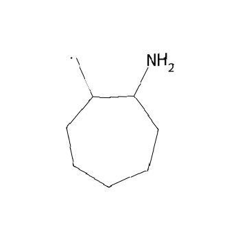 [CH2]C1CCCCCC1N